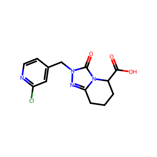 O=C(O)C1CCCc2nn(Cc3ccnc(Cl)c3)c(=O)n21